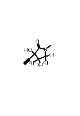 [2H]C1([2H])N(C)C(=O)C(O)(C#C)C1([2H])[2H]